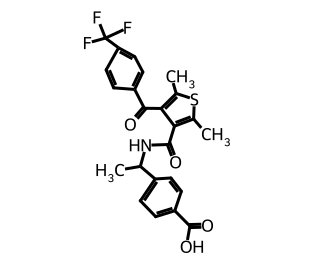 Cc1sc(C)c(C(=O)c2ccc(C(F)(F)F)cc2)c1C(=O)NC(C)c1ccc(C(=O)O)cc1